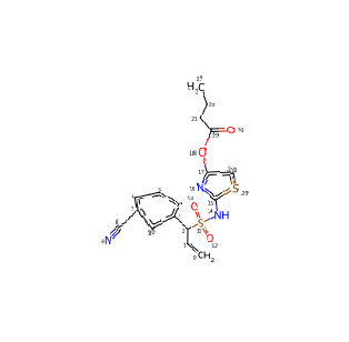 C=CC(c1cccc(C#N)c1)S(=O)(=O)Nc1nc(OC(=O)CCC)cs1